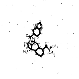 CN(C)C(=O)c1cccc2c1C[C@H]1N(C(=O)c3ccc4nc[nH]c4c3)CC[C@]2(C)C1(C)C